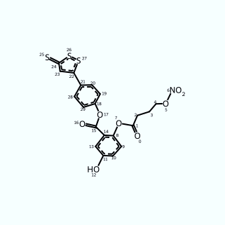 O=C(CCCO[N+](=O)[O-])Oc1ccc(O)cc1C(=O)Oc1ccc(-c2cc(=S)ss2)cc1